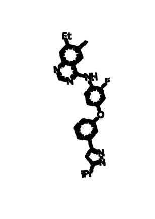 CCc1cc2ncnc(Nc3ccc(Oc4cccc(C5=NN=C(C(C)C)C5)c4)cc3F)c2cc1C